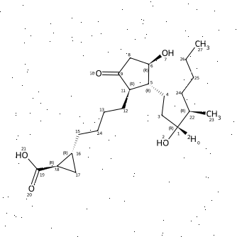 [2H][C@@](O)(CC[C@H]1[C@H](O)CC(=O)[C@@H]1CCCC[C@@H]1C[C@H]1C(=O)O)[C@H](C)CCCC